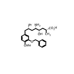 COc1ccc(C[C@@H](C[C@H](N)[C@@H](O)C[C@@H](C)C(=O)O)C(C)C)cc1OCc1ccccc1